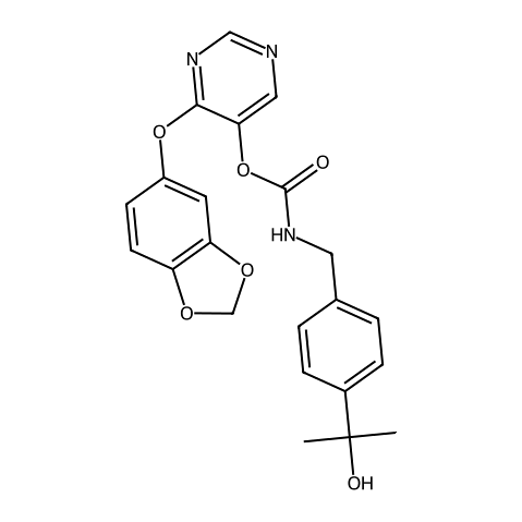 CC(C)(O)c1ccc(CNC(=O)Oc2cncnc2Oc2ccc3c(c2)OCO3)cc1